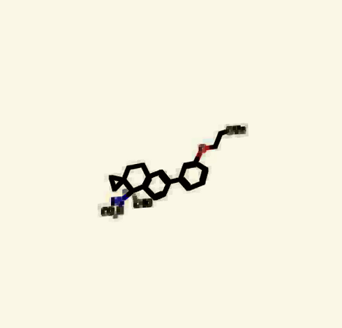 COCCOc1cccc(-c2ccc3c(c2)CCC2(CC2)[C@]3(C=O)NC(=O)O)c1